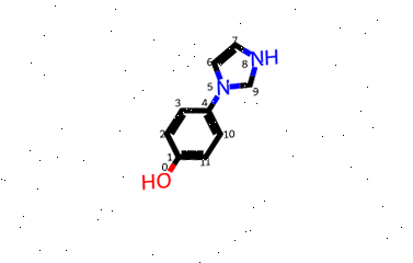 Oc1ccc(N2C=CNC2)cc1